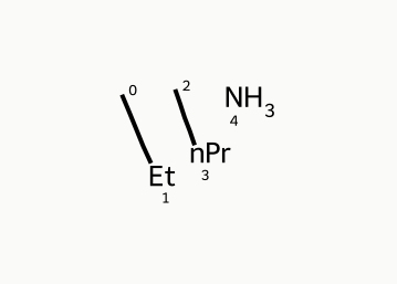 CCC.CCCC.N